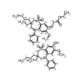 CCCCC1(CC)CN(c2ccccc2)c2cc(OC)c(O)cc2S(=O)(=O)C1.CCCCC1(CC)CN(c2ccccc2)c2cc(OC)c(OCC(=O)OCC)cc2S(=O)(=O)C1